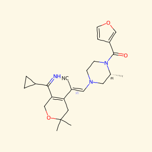 C[C@@H]1CN(/C=C(\C#N)C2=C(C(=N)C3CC3)COC(C)(C)C2)CCN1C(=O)c1ccoc1